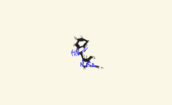 Cc1c(-c2nc3ccccc3[nH]2)ncn1C